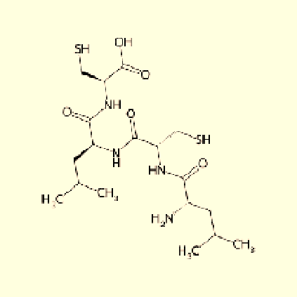 CC(C)C[C@H](NC(=O)[C@H](CS)NC(=O)[C@@H](N)CC(C)C)C(=O)N[C@@H](CS)C(=O)O